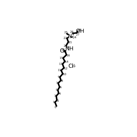 CCCCCCCCCCCCCCCCCC(=O)NCCC[N+](C)(C)CCO.[Cl-]